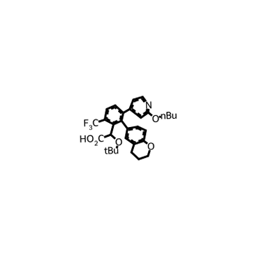 CCCCOc1cc(-c2ccc(C(F)(F)F)c(C(OC(C)(C)C)C(=O)O)c2-c2ccc3c(c2)CCCO3)ccn1